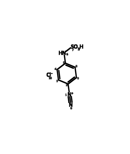 N#[N+]c1ccc(NS(=O)(=O)O)cc1.[Cl-]